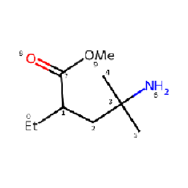 CCC(CC(C)(C)N)C(=O)OC